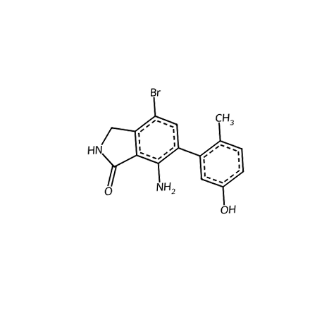 Cc1ccc(O)cc1-c1cc(Br)c2c(c1N)C(=O)NC2